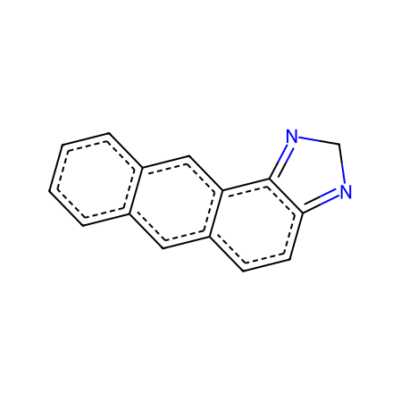 c1ccc2cc3c4c(ccc3cc2c1)=NCN=4